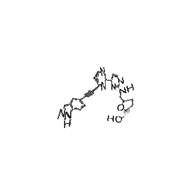 OC[C@H]1CCC(CNc2nccc(-c3nccc(C#Cc4ccc5[nH]ncc5c4)n3)n2)O1